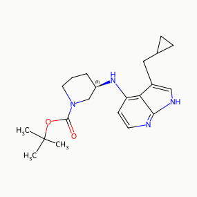 CC(C)(C)OC(=O)N1CCC[C@@H](Nc2ccnc3[nH]cc(CC4CC4)c23)C1